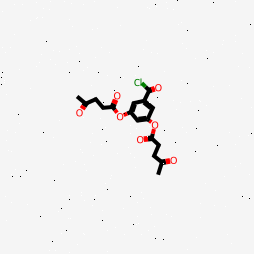 CC(=O)CCC(=O)Oc1cc(OC(=O)CCC(C)=O)cc(C(=O)Cl)c1